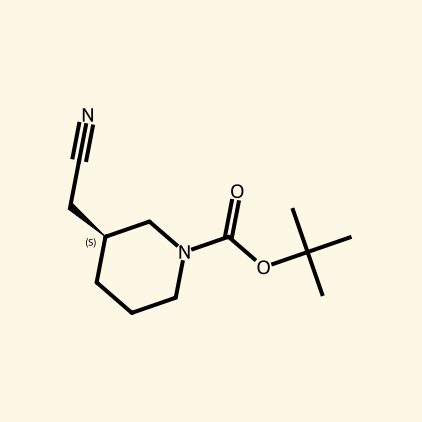 CC(C)(C)OC(=O)N1CCC[C@@H](CC#N)C1